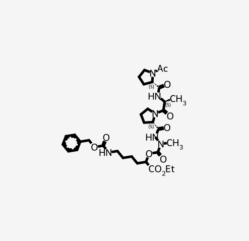 CCOC(=O)C(CCCCNC(=O)OCc1ccccc1)OC(=O)N(C)NC(=O)[C@@H]1CCCN1C(=O)[C@H](C)NC(=O)[C@@H]1CCCN1C(C)=O